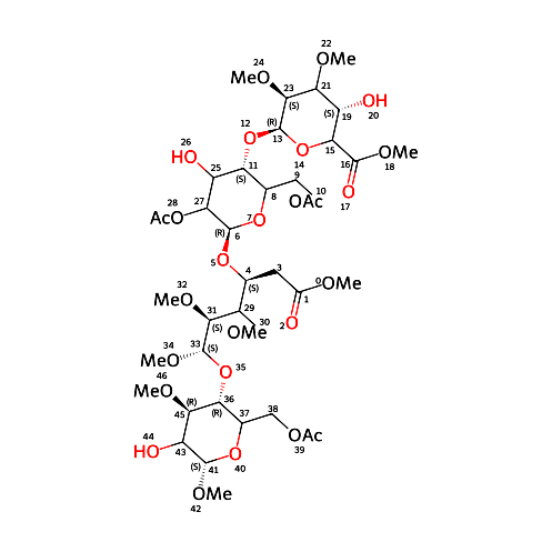 COC(=O)C[C@H](O[C@@H]1OC(COC(C)=O)[C@@H](O[C@@H]2OC(C(=O)OC)[C@@H](O)C(OC)[C@@H]2OC)C(O)C1OC(C)=O)C(OC)[C@H](OC)[C@@H](OC)O[C@@H]1C(COC(C)=O)O[C@H](OC)C(O)[C@H]1OC